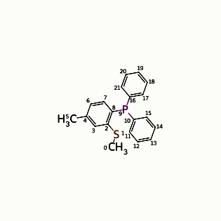 CSc1cc(C)ccc1P(c1ccccc1)c1ccccc1